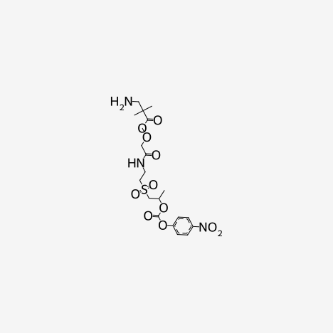 CC(CS(=O)(=O)CCNC(=O)COOC(=O)C(C)(C)CN)OC(=O)Oc1ccc([N+](=O)[O-])cc1